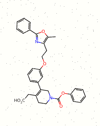 Cc1oc(-c2ccccc2)nc1CCOc1cccc(C2=C(CC(=O)O)CCN(C(=O)Oc3ccccc3)C2)c1